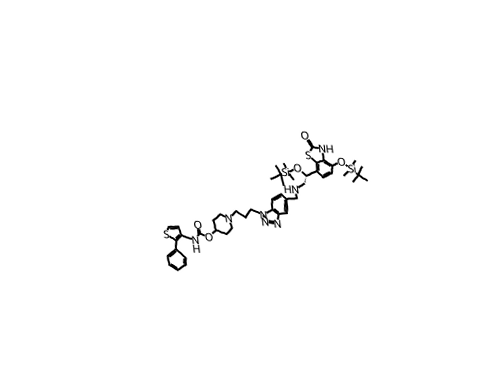 CC(C)(C)[Si](C)(C)Oc1ccc([C@H](CNCc2ccc3c(c2)nnn3CCCN2CCC(OC(=O)Nc3ccsc3-c3ccccc3)CC2)O[Si](C)(C)C(C)(C)C)c2sc(=O)[nH]c12